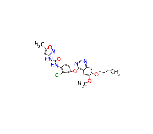 CCCCOc1cc2ncnc(Oc3ccc(NC(=O)Nc4cc(C)on4)c(Cl)c3)c2cc1OC